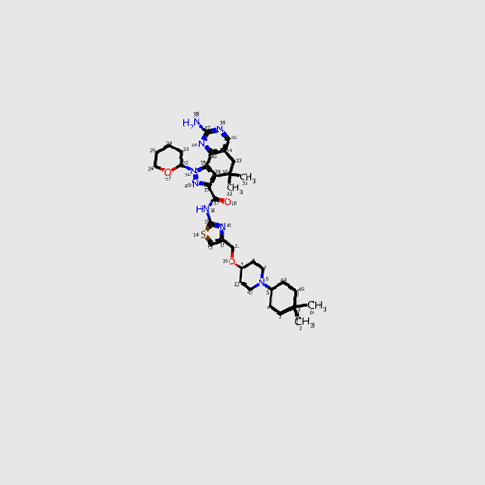 CC1(C)CCC(N2CCC(OCc3csc(NC(=O)c4nn(C5CCCCO5)c5c4C(C)(C)Cc4cnc(N)nc4-5)n3)CC2)CC1